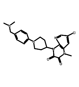 CN(C)Cc1ccc(N2CCC(n3c(=O)c(=O)n(C)c4cc(Cl)cnc43)CC2)cc1